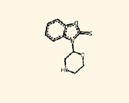 S=c1oc2ccccc2n1C1CNCCO1